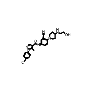 Cc1c(C(=O)Nc2ccc(N3CCC(NCCO)CC3)c(C#N)c2)cnn1-c1ccc(Cl)cc1